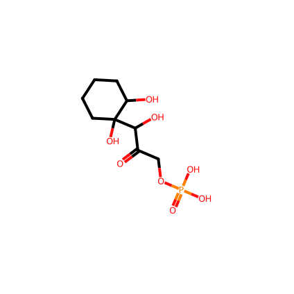 O=C(COP(=O)(O)O)C(O)C1(O)CCCCC1O